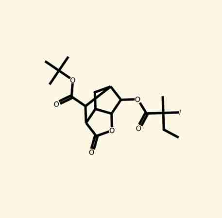 CCC(C)(I)C(=O)OC1C2CC3C1OC(=O)C3C2C(=O)OC(C)(C)C